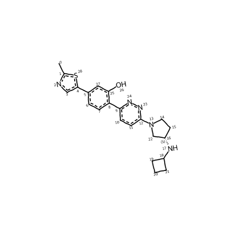 Cc1ncc(-c2ccc(-c3ccc(N4CC[C@H](NC5CCC5)C4)nn3)c(O)c2)s1